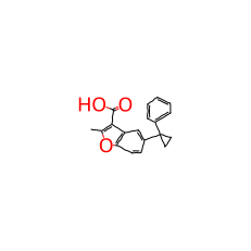 Cc1oc2ccc(C3(c4ccccc4)CC3)cc2c1C(=O)O